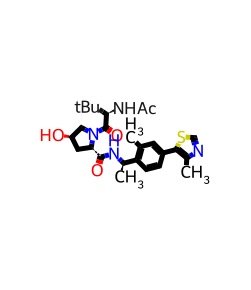 CC(=O)N[C@H](C(=O)N1C[C@H](O)C[C@H]1C(=O)N[C@@H](C)c1ccc(-c2scnc2C)cc1C)C(C)(C)C